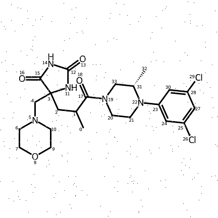 CC(CC1(CN2CCOCC2)NC(=O)NC1=O)C(=O)N1CCN(c2cc(Cl)cc(Cl)c2)[C@@H](C)C1